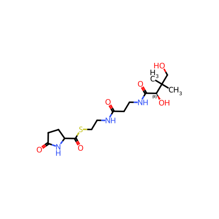 CC(C)(CO)[C@@H](O)C(=O)NCCC(=O)NCCSC(=O)C1CCC(=O)N1